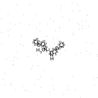 CN(CCc1c[nH]c2ccc(OCc3ccccc3)cc12)Cc1cccc(Oc2ccccc2)c1